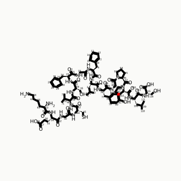 CC(C)C[C@H](NC(=O)[C@H](Cc1ccccc1)NC(=O)CNC(=O)[C@H](Cc1ccccc1)NC(=O)[C@H](CO)NC(=O)[C@@H](NC(=O)[C@H](CS)NC(=O)CNC(=O)[C@H](CCC(=O)O)NC(=O)[C@@H](N)CCCCN)C(C)C)C(=O)N[C@@H](Cc1ccc(O)cc1)C(=O)N[C@@H](C)C(=O)N1CCC[C@H]1C(=O)N1CCC[C@H]1C(=O)N[C@@H](CC(C)C)C(=O)N[C@@H](CO)C(=O)O